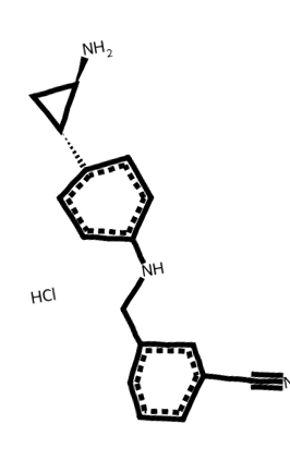 Cl.N#Cc1cccc(CNc2ccc([C@@H]3C[C@H]3N)cc2)c1